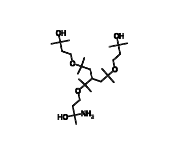 CC(C)(O)CCOC(C)(C)CC(CC(C)(C)OCCC(C)(C)O)C(C)(C)OCCC(C)(N)O